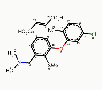 CSc1c(CN(C)C)cccc1Oc1cc(Cl)ccc1C#N.O=C(O)C=CC(=O)O